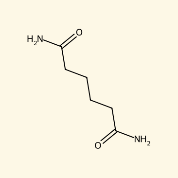 NC(=O)CCCCC(N)=O